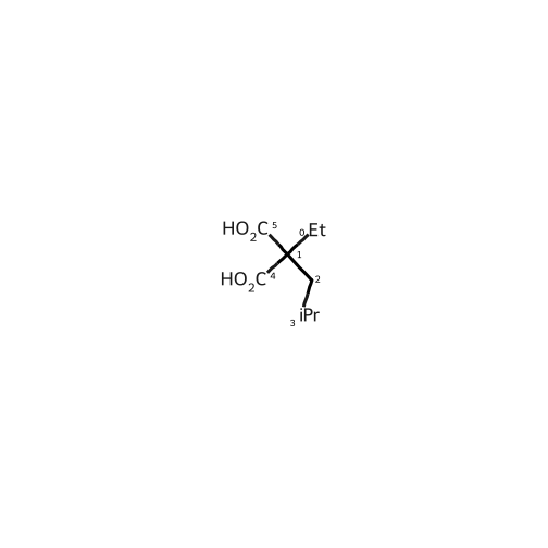 CCC(CC(C)C)(C(=O)O)C(=O)O